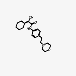 N#CC(C(=O)Nc1ccc(CCN2CCOCC2)cc1)=C1CCCCC1